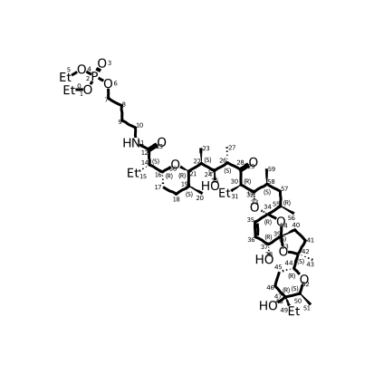 CCOP(=O)(OCC)OCCCCNC(=O)[C@@H](CC)[C@H]1CC[C@H](C)[C@H]([C@@H](C)[C@H](O)[C@H](C)C(=O)[C@H](CC)[C@H]2O[C@]3(C=C[C@@H](O)[C@]4(CC[C@@](C)([C@H]5CC[C@](O)(CC)[C@H](C)O5)O4)O3)[C@H](C)C[C@@H]2C)O1